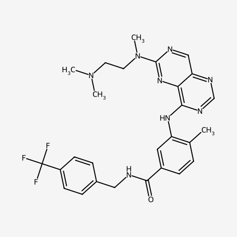 Cc1ccc(C(=O)NCc2ccc(C(F)(F)F)cc2)cc1Nc1ncnc2cnc(N(C)CCN(C)C)nc12